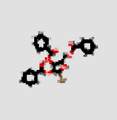 O=C(OC[C@H]1O[C@@H](Br)C(OC(=O)c2ccccc2)C1OC(=O)c1ccccc1)c1ccccc1